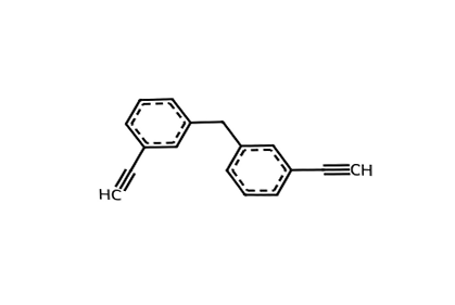 C#Cc1cccc(Cc2cccc(C#C)c2)c1